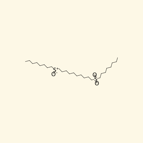 CCCCCCCC[S+]([O-])CCCCCCCCCCS(=O)(=O)CCCCCCCC